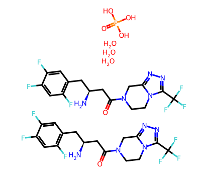 N[C@H](CC(=O)N1CCn2c(nnc2C(F)(F)F)C1)Cc1cc(F)c(F)cc1F.N[C@H](CC(=O)N1CCn2c(nnc2C(F)(F)F)C1)Cc1cc(F)c(F)cc1F.O.O.O.O=P(O)(O)O